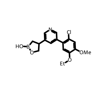 CCOc1cc(-c2cncc(C3COB(O)C3)c2)c(Cl)cc1OC